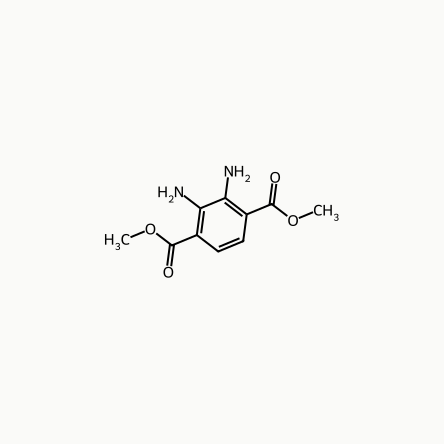 COC(=O)c1ccc(C(=O)OC)c(N)c1N